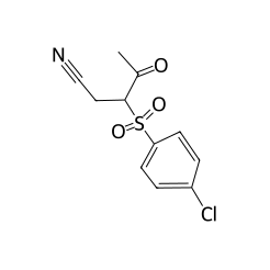 CC(=O)C(CC#N)S(=O)(=O)c1ccc(Cl)cc1